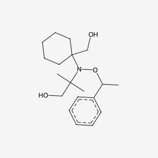 CC(ON(C(C)(C)CO)C1(CO)CCCCC1)c1ccccc1